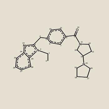 CCn1c(Cc2ccc(C(=O)N3CCC(N4CCCC4)C3)cc2)nc2ccccc21